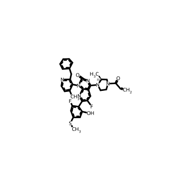 C=CC(=O)N1CCN(c2nc(=O)n(-c3c(C)ccnc3Cc3ccccc3)c3nc(-c4c(O)cc(SC)cc4F)c(F)cc23)[C@@H](C)C1